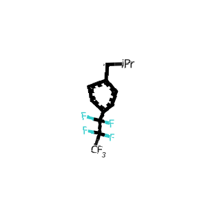 CC(C)[CH]c1ccc(C(F)(F)C(F)(F)C(F)(F)F)cc1